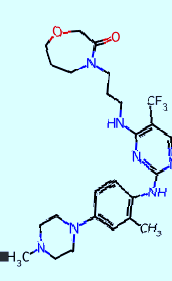 Cc1cc(N2CCN(C)CC2)ccc1Nc1ncc(C(F)(F)F)c(NCCCN2CCCOCC2=O)n1